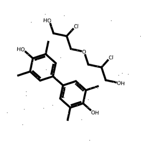 Cc1cc(-c2cc(C)c(O)c(C)c2)cc(C)c1O.OCC(Cl)COCC(Cl)CO